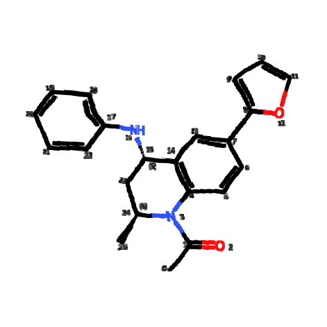 CC(=O)N1c2ccc(-c3ccco3)cc2[C@@H](Nc2ccccc2)C[C@@H]1C